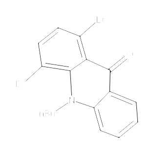 CCCCn1c2ccccc2c(=O)c2c(CC)ccc(CC)c21